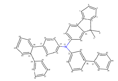 CC1(C)c2ccccc2-c2ccc(N(c3ccc(-c4ccccc4-c4ccccc4)cc3)c3cccc(-c4ccccc4)c3)cc21